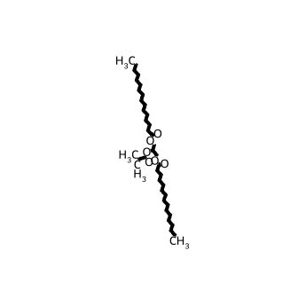 CCCCCCCCCCCCCCCC(=O)OCC(COC(=O)CCCCCCCCCCCCCCC)OC(=O)C(C)C